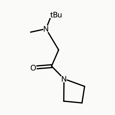 CN(CC(=O)N1CCC1)C(C)(C)C